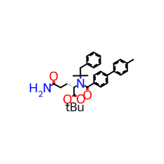 Cc1ccc(-c2ccc(C(=O)N([C@@H](CCC(N)=O)C(=O)OC(C)(C)C)C(C)(C)Cc3ccccc3)cc2)cc1